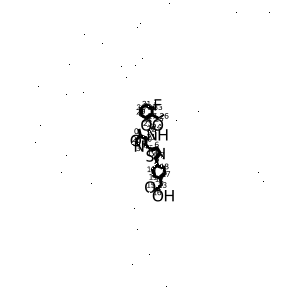 Cc1onc(-c2cnc(-c3ccc(CC(=O)O)cc3)s2)c1NC(=O)O[C@H](C)c1ccccc1F